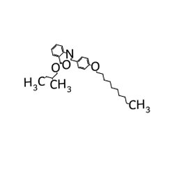 CCCCCCCCCCOc1ccc(C=Nc2ccccc2C(=O)OCC(C)CC)cc1